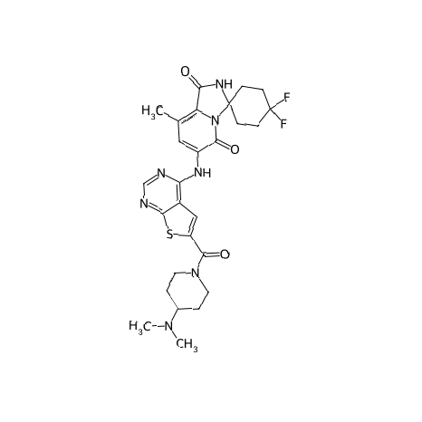 Cc1cc(Nc2ncnc3sc(C(=O)N4CCC(N(C)C)CC4)cc23)c(=O)n2c1C(=O)NC21CCC(F)(F)CC1